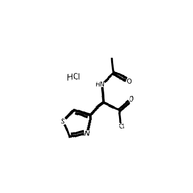 CC(=O)NC(C(=O)Cl)c1cscn1.Cl